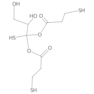 O=C(CCS)OC(S)(OC(=O)CCS)C(O)CO